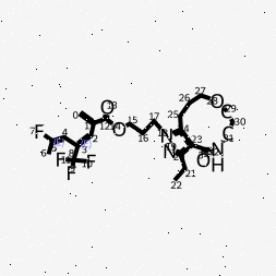 C=C(/C=C(\C=C(/C)F)C(F)(F)F)C(=O)OCCCn1nc(CC)c2c1CCCOCCCNC2=O